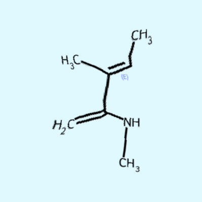 C=C(NC)/C(C)=C/C